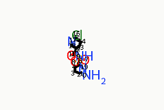 Nc1cccc(S(=O)(=O)NC(=O)c2ccc(Cl)nc2)n1